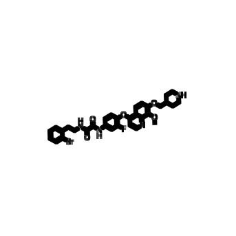 COc1c(OCC2CCNCC2)ccc2c(Oc3ccc(NC(=O)C(=O)NCCc4ccccc4Br)cc3F)ccnc12